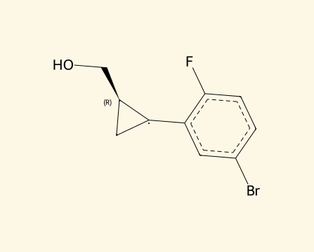 OC[C@@H]1C[C]1c1cc(Br)ccc1F